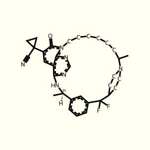 CC1CCCCCCn2c(=O)c(C3(C#N)CC3)cc3c(ncnc32)N[C@H](C)c2cccc(c2)C(F)(F)C2CCN1CC2